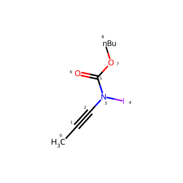 CC#CN(I)C(=O)OCCCC